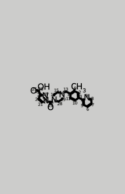 Cc1cc(-c2ccccn2)ccc1CN1CCN(C(=O)n2ccc(C(=O)O)n2)CC1